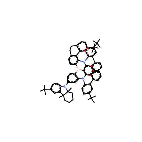 Cc1cc2c3c(c1)N(c1ccc(C(C)(C)C)cc1-c1ccccc1)c1c(ccc4c1-c1cc(C(C)(C)C)ccc1CC4)B3c1ccc(N3c4ccc(C(C)(C)C)cc4C4(C)CCCCC34C)cc1N2c1ccc(C(C)(C)C)cc1-c1ccccc1